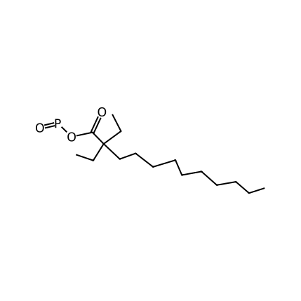 CCCCCCCCCCC(CC)(CC)C(=O)OP=O